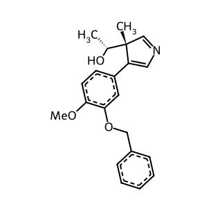 COc1ccc(C2=CN=C[C@@]2(C)[C@@H](C)O)cc1OCc1ccccc1